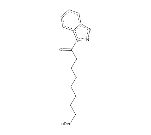 CCCCCCCCCCCCCCCCCC(=O)n1nnc2ccccc21